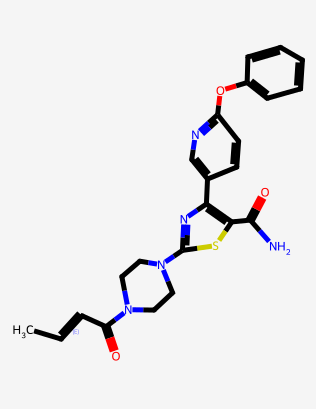 C/C=C/C(=O)N1CCN(c2nc(-c3ccc(Oc4ccccc4)nc3)c(C(N)=O)s2)CC1